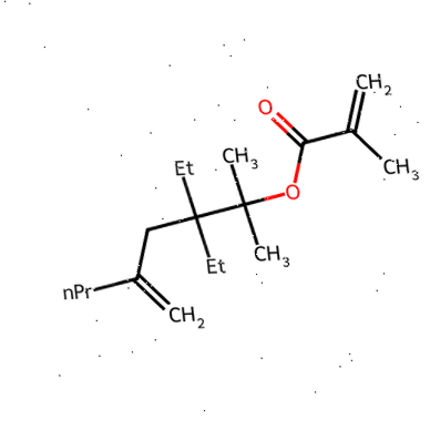 C=C(CCC)CC(CC)(CC)C(C)(C)OC(=O)C(=C)C